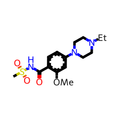 CCN1CCN(c2ccc(C(=O)NS(C)(=O)=O)c(OC)c2)CC1